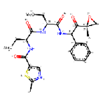 COC[C@H](NC(=O)c1cnc(C)s1)C(=O)N[C@@H](COC)C(=O)NC(C(=O)[C@@]1(C)CO1)c1ccccc1